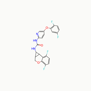 O=C(Nc1ccc(Oc2cc(F)ccc2F)cn1)NC1C2COc3c(F)ccc(F)c3C21